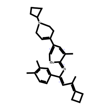 C\C=C(/C=C(C)\C(=N\C(=C/C(C)=C1CCC1)c1ccc(C)c(C)c1)C(C)CC)C1=CCN(C2CCC2)CC1